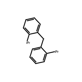 CC(C)c1ccccc1[CH]c1ccccc1C(C)C